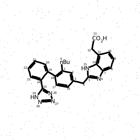 CCCCc1cc(Cc2nc3cccc(CC(=O)O)c3[nH]2)ccc1-c1ccccc1-c1nnn[nH]1